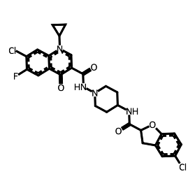 O=C(NN1CCC(NC(=O)C2Cc3cc(Cl)ccc3O2)CC1)c1cn(C2CC2)c2cc(Cl)c(F)cc2c1=O